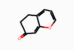 O=C1C=C2OC=CC=C2CC1